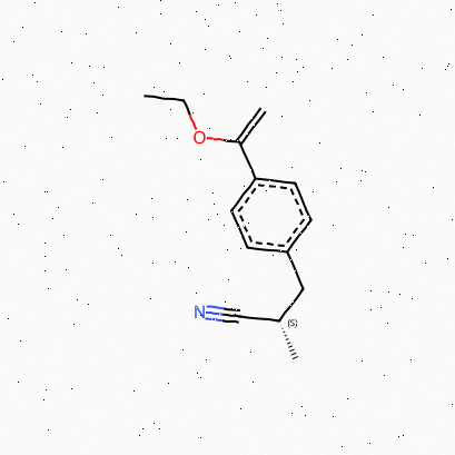 C=C(OCC)c1ccc(C[C@H](C)C#N)cc1